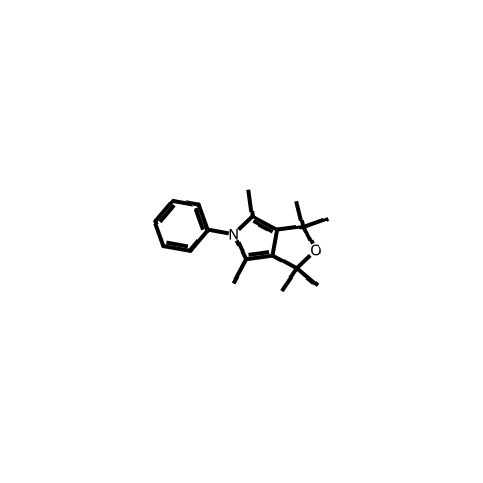 Cc1c2c(c(C)n1-c1ccccc1)C(C)(C)OC2(C)C